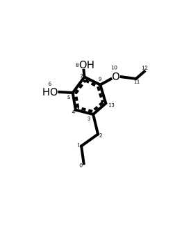 CCCc1cc(O)c(O)c(OCC)c1